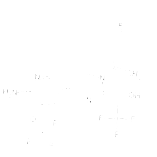 C=C(CCF)n1cc(-c2cnc(N)c(OC(F)(F)F)c2)nc1[C@H](O)C(F)(F)F